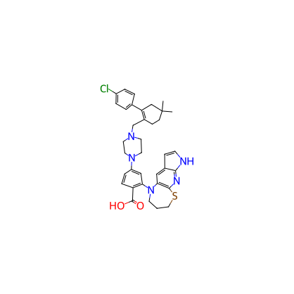 CC1(C)CCC(CN2CCN(c3ccc(C(=O)O)c(N4CCCSc5nc6[nH]ccc6cc54)c3)CC2)=C(c2ccc(Cl)cc2)C1